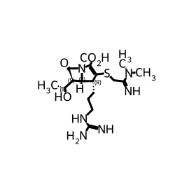 C[C@@H](O)[C@H]1C(=O)N2C(C(=O)O)=C(SCC(=N)N(C)C)[C@H](CCCNC(=N)N)[C@H]12